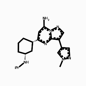 CC(C)N[C@@H]1CCC[C@H](c2cc(N)n3ncc(-c4cnn(C)c4)c3n2)C1